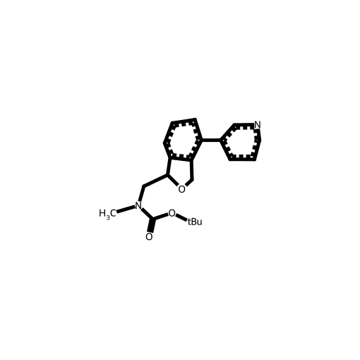 CN(CC1OCc2c(-c3cccnc3)cccc21)C(=O)OC(C)(C)C